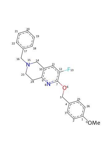 COc1ccc(COc2nc3c(cc2F)CN(Cc2ccccc2)CC3)cc1